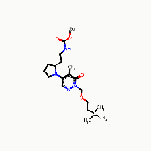 CC(C)(C)OC(=O)NCC[C@@H]1CCCN1c1cnn(COCC[Si](C)(C)C)c(=O)c1C(F)(F)F